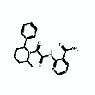 CC1CCCC(c2ccccc2)N1C(=O)C(=O)Nc1ncccc1C(N)=O